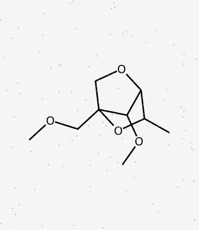 COCC12COC(C(C)O1)C2OC